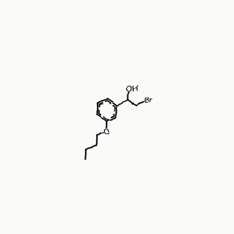 CCCCOc1cccc(C(O)CBr)c1